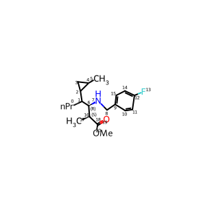 CCCC(C1CC1C)[C@@H](NCc1ccc(F)cc1)[C@H](C)C(=O)OC